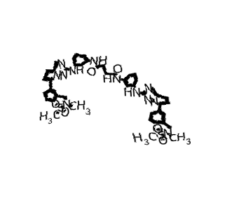 CN(Cc1cccc(-c2ccc3cnc(Nc4cccc(NC(=O)CCC(=O)Nc5cccc(Nc6ncc7ccc(-c8cccc(CN(C)S(C)(=O)=O)c8)n7n6)c5)c4)nn23)c1)S(C)(=O)=O